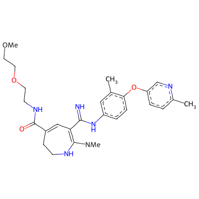 CNC1=C(C(=N)Nc2ccc(Oc3ccc(C)nc3)c(C)c2)C=C(C(=O)NCCOCCOC)CCN1